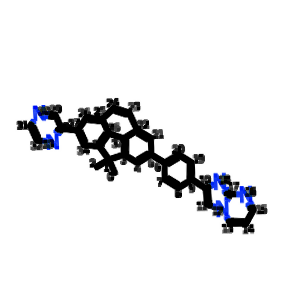 CC1(C)c2cc(-c3ccc(-c4cn5cccnc5n4)cc3)cc3ccc4cc(-c5cnccn5)cc1c4c23